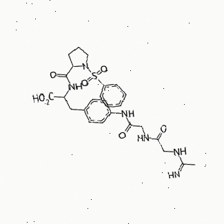 CC(=N)NCC(=O)NCC(=O)Nc1ccc(CC(NC(=O)C2CCCN2S(=O)(=O)c2ccccc2)C(=O)O)cc1